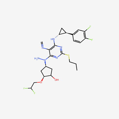 C=Nc1c(N[C@@H]2C[C@H]2c2ccc(F)c(F)c2)nc(SCCC)nc1N(N)[C@H]1CC(O)[C@@H](OCC(F)F)C1